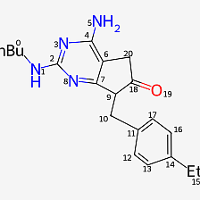 CCCCNc1nc(N)c2c(n1)C(Cc1ccc(CC)cc1)C(=O)C2